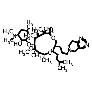 CO[C@]1(C)C[C@@H](C)CN(CCC(C)C)[C@H](CCCN2CCc3ncncc3C2)COC(=O)C(C)(C)C(=O)[C@H](C)[C@H]1O[C@@H]1O[C@H](C)C[C@H](N(C)C)[C@H]1O